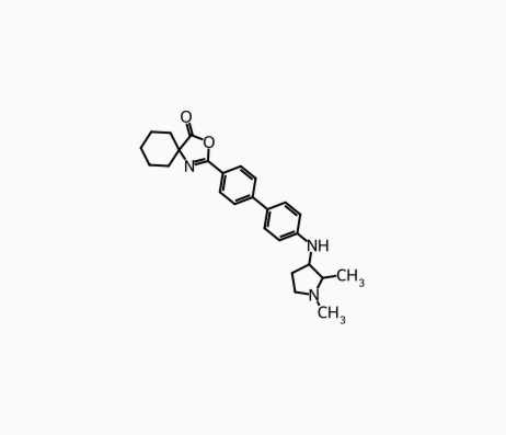 CC1C(Nc2ccc(-c3ccc(C4=NC5(CCCCC5)C(=O)O4)cc3)cc2)CCN1C